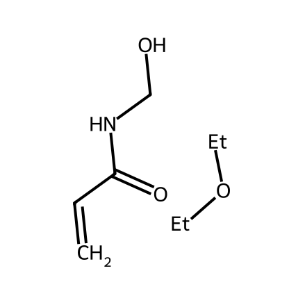 C=CC(=O)NCO.CCOCC